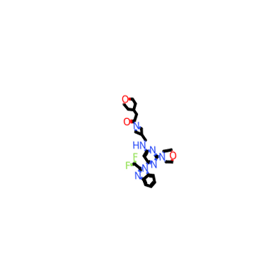 O=C(CC1CCOCC1)N1CC(CNc2cc(-n3c(C(F)F)nc4ccccc43)nc(N3CCOCC3)n2)C1